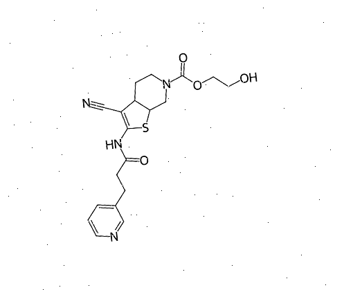 N#CC1=C(NC(=O)CCc2cccnc2)SC2CN(C(=O)OCCO)CCC12